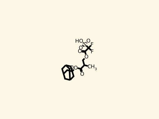 CC(COC(=O)C(F)(F)S(=O)(=O)O)C(=O)OC12CC3CC(C1)C(=O)C(C3)C2